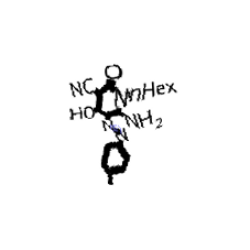 CCCCCCn1c(N)c(/N=N/c2ccc(C)cc2)c(O)c(C#N)c1=O